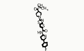 CN(C)C(=O)C1CCN(c2nc3sc(C(=O)Nc4ccc(-c5ccc(F)cc5)cn4)cc3s2)CC1